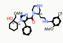 COC[C@]1(O)CCCC[C@H]1n1cnc(C(=O)N2CCNC[C@H]2CCNc2cc(C(F)(F)F)ccc2OC)c1-c1ccccc1